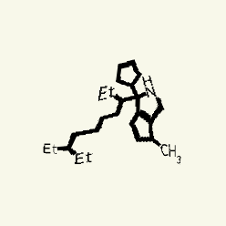 CCC(CC)CCCCC(CC)C1(C2CCCC2)NCC2=C1C=CC2C